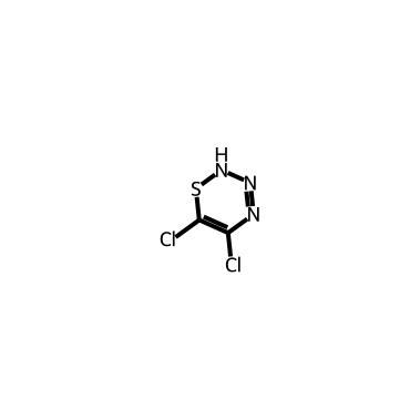 ClC1=C(Cl)SNN=N1